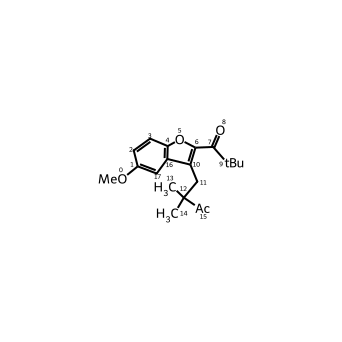 COc1ccc2oc(C(=O)C(C)(C)C)c(CC(C)(C)C(C)=O)c2c1